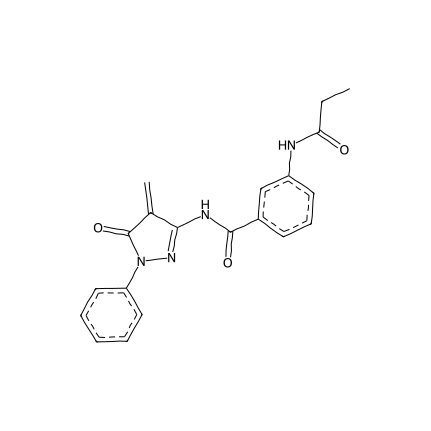 C=C1C(=O)N(c2ccccc2)N=C1NC(=O)c1cccc(NC(=O)CC)c1